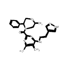 Cc1nc(C(=O)N2CC(C)OCC2c2ccccc2)nc(NCCc2cn[nH]c2)c1C